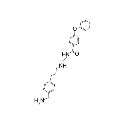 NCc1ccc(CCCNCCNC(=O)c2ccc(Oc3ccccc3)cc2)cc1